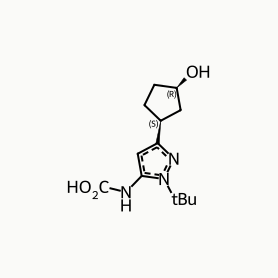 CC(C)(C)n1nc([C@H]2CC[C@@H](O)C2)cc1NC(=O)O